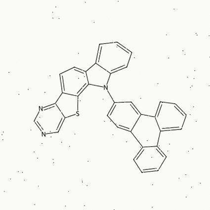 c1ccc2c(c1)c1ccccc1c1cc(-n3c4ccccc4c4ccc5c6ncncc6sc5c43)ccc21